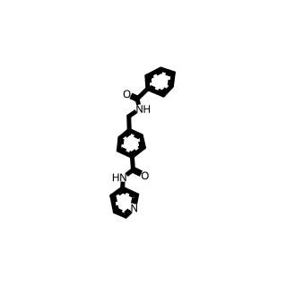 O=C(NCc1ccc(C(=O)Nc2cccnc2)cc1)c1ccccc1